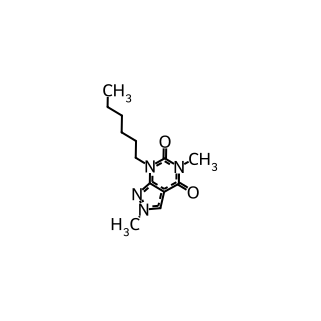 CCCCCCn1c(=O)n(C)c(=O)c2cn(C)nc21